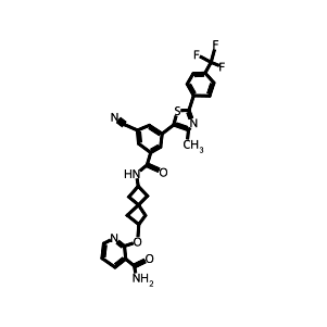 Cc1nc(-c2ccc(C(F)(F)F)cc2)sc1-c1cc(C#N)cc(C(=O)NC2CC3(C2)CC(Oc2ncccc2C(N)=O)C3)c1